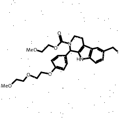 COCCOCCOc1ccc(C2c3[nH]c4ccc(CI)cc4c3CCN2C(=O)OCCOC)cc1